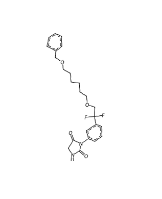 O=C1CNC(=O)N1c1cccc(C(F)(F)COCCCCCCOCc2ccccc2)c1